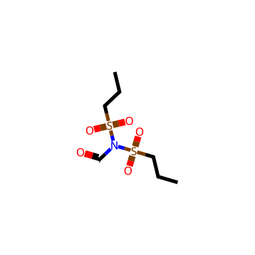 CCCS(=O)(=O)N([C]=O)S(=O)(=O)CCC